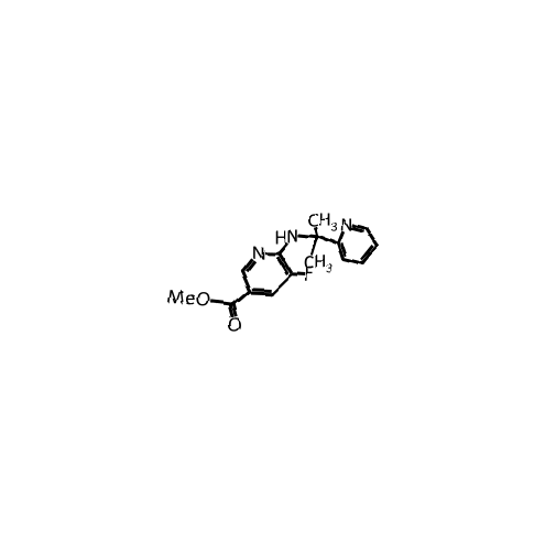 COC(=O)c1cnc(NC(C)(C)c2ccccn2)c(F)c1